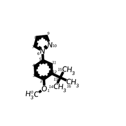 COc1ccc(-n2cccn2)cc1C(C)(C)C